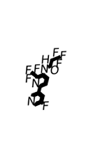 O=C(CC(F)(F)F)Nc1ccc(-c2cncc(F)c2)nc1C(F)(F)F